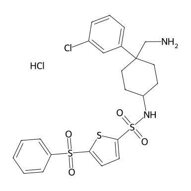 Cl.NCC1(c2cccc(Cl)c2)CCC(NS(=O)(=O)c2ccc(S(=O)(=O)c3ccccc3)s2)CC1